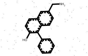 NCc1ccc2c(-c3ccccc3)c(O)ccc2c1